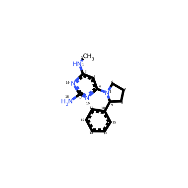 CNc1cc(N2CCCC2c2ccccc2)nc(N)n1